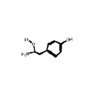 CCOC(N)Cc1ccc(O)cc1